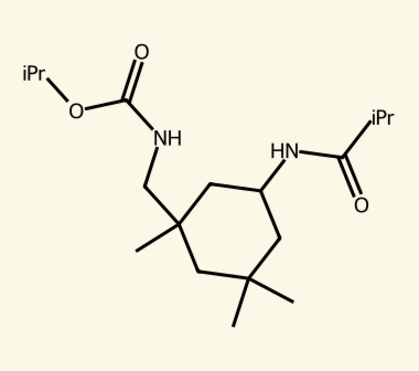 CC(C)OC(=O)NCC1(C)CC(NC(=O)C(C)C)CC(C)(C)C1